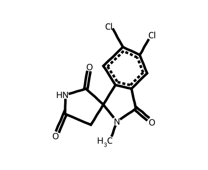 CN1C(=O)c2cc(Cl)c(Cl)cc2C12CC(=O)NC2=O